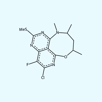 CSc1nc2c3c(nc(Cl)c(F)c3n1)OC(C)CC(C)N2C